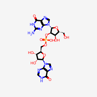 Nc1nc2c(ncn2[C@@H]2O[C@H](CO)[C@@H](O)[C@H]2OP(=O)(O)OC[C@H]2O[C@@H](n3cnc4c(=O)[nH]cnc43)[C@H](O)[C@@H]2O)c(=O)[nH]1